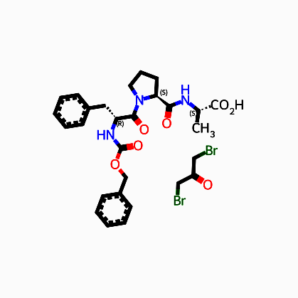 C[C@H](NC(=O)[C@@H]1CCCN1C(=O)[C@@H](Cc1ccccc1)NC(=O)OCc1ccccc1)C(=O)O.O=C(CBr)CBr